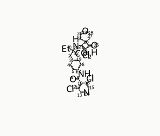 CC[C@@](Cc1ccc(NC(=O)c2c(Cl)cncc2Cl)cc1)(NC1=C(Cl)C(=O)C12CCOCC2)C(=O)O